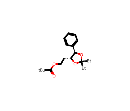 CCC1(CC)O[C@H](c2ccccc2)[C@@H](CCOC(=O)C(C)(C)C)O1